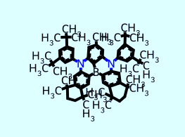 Cc1cc2c3c(c1)N(c1cc(C(C)(C)C)cc(C(C)(C)C)c1)c1cc4c(cc1B3c1cc3c(cc1N2c1cc(C(C)(C)C)cc(C(C)(C)C)c1)C(C)(C)CCC3(C)C)C(C)(C)CCC4(C)C